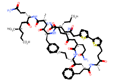 C[C@H](CC(=O)[C@H](Cc1ccccc1)NC(=O)[C@H](CCC(=O)O)CC(=O)Cc1ccc(-c2ccc(CCC(=O)[C@H](C)NC(=O)[C@@H](CC(=O)[C@H](CCC(=O)O)NC(=O)[C@H](CCC(N)=O)CC(=O)[C@@H](N)CCC(N)=O)Cc3ccccc3)s2)s1)C(=O)N[C@@H](CCC(N)=O)C(=O)C[C@@H](CCC(=O)O)C(=O)O